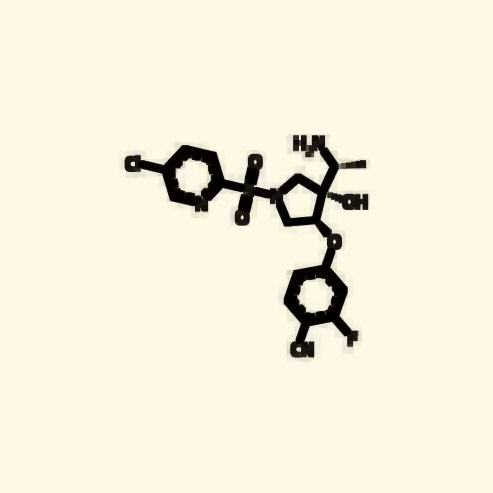 C[C@@H](N)[C@]1(O)CN(S(=O)(=O)c2ccc(Cl)cn2)C[C@@H]1Oc1ccc(C#N)c(F)c1